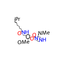 CNCC1CNCCN1C(=O)Oc1ccc(CNC(=O)CCCC/C=C/C(C)C)cc1OC